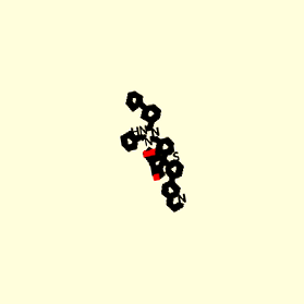 c1ccc(C2=NC(c3ccc4c(c3)C3(c5cc(-c6ccc7cccnc7c6)ccc5S4)c4ccccc4-c4ccccc43)=NC(c3cccc(-c4ccccc4)c3)N2)cc1